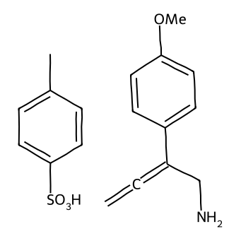 C=C=C(CN)c1ccc(OC)cc1.Cc1ccc(S(=O)(=O)O)cc1